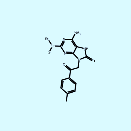 CC[S+]([O-])c1nc(N)c2[nH]c(=O)n(CC(=O)c3ccc(C)cc3)c2n1